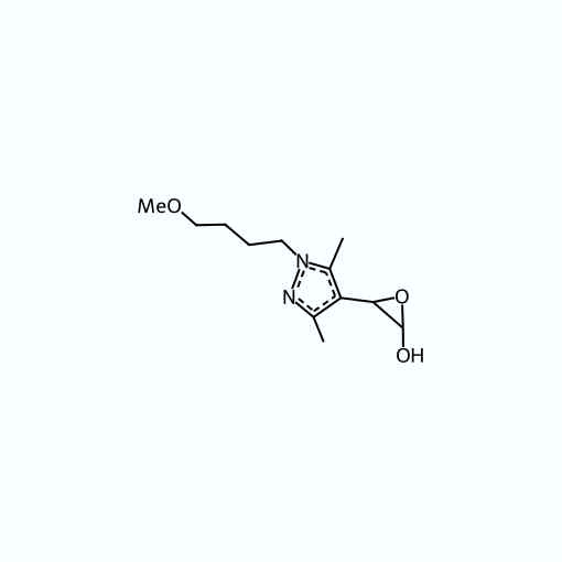 COCCCCn1nc(C)c(C2OC2O)c1C